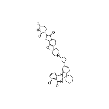 O=C1CC[C@H](N2Cc3c(ccc4c3OCC43CCN(C4CCC(c5ccc6c(c5)-n5c(nc(=O)c7c(Cl)cccc75)C65CCCCC5)C4)CC3)C2=O)C(=O)N1